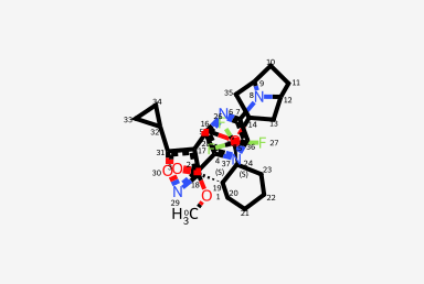 COC(=O)c1cnc(N2C3CCC2CC(OCc2c([C@H]4CCCC[C@@H]4C(F)(F)F)noc2C2CC2)C3)cn1